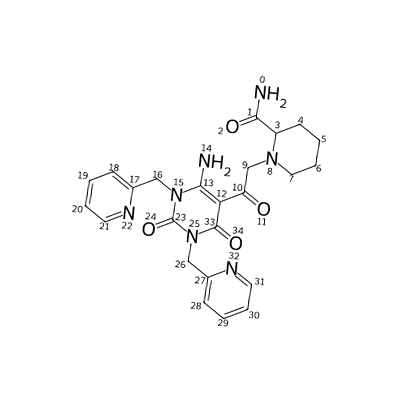 NC(=O)C1CCCCN1CC(=O)c1c(N)n(Cc2ccccn2)c(=O)n(Cc2ccccn2)c1=O